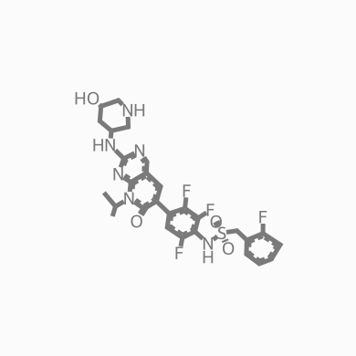 CC(C)n1c(=O)c(-c2cc(F)c(NS(=O)(=O)Cc3ccccc3F)c(F)c2F)cc2cnc(NC3CNCC(O)C3)nc21